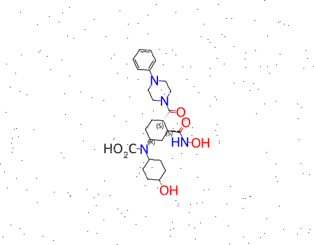 O=C(NO)[C@H]1C[C@H](N(C(=O)O)C2CCC(O)CC2)CC[C@@H]1C(=O)N1CCN(c2ccccc2)CC1